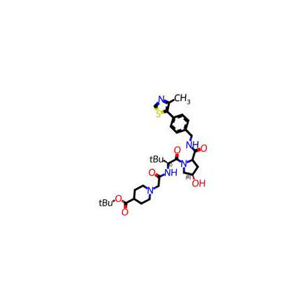 Cc1ncsc1-c1ccc(CNC(=O)C2C[C@@H](O)CN2C(=O)[C@@H](NC(=O)CN2CCC(C(=O)OC(C)(C)C)CC2)C(C)(C)C)cc1